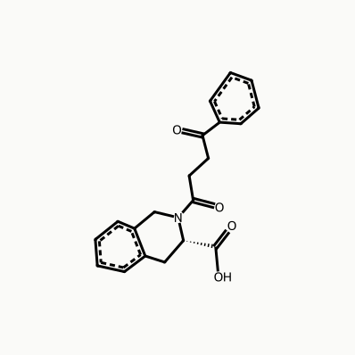 O=C(CCC(=O)N1Cc2ccccc2C[C@H]1C(=O)O)c1ccccc1